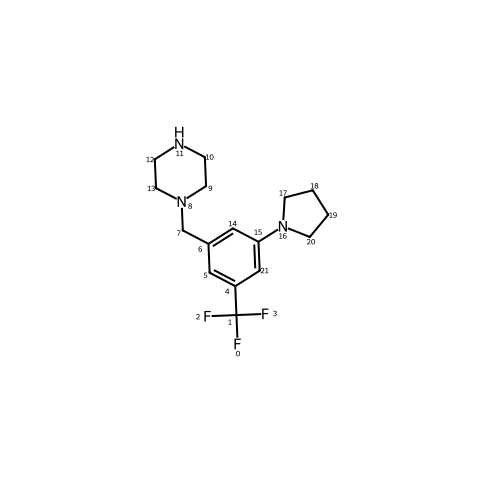 FC(F)(F)c1cc(CN2CCNCC2)cc(N2CCCC2)c1